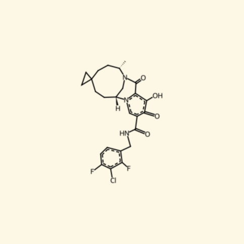 C[C@H]1CCC2(CC[C@@H]3CN1C(=O)c1c(O)c(=O)c(C(=O)NCc4ccc(F)c(Cl)c4F)cn13)CC2